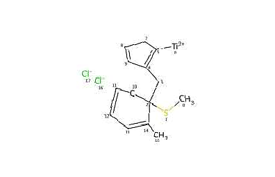 CSC1(CC2=[C]([Ti+2])CC=C2)CC=CC=C1C.[Cl-].[Cl-]